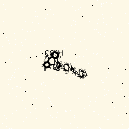 O=C(O)CC1c2ccccc2C(=O)N(CC(=O)N2CCN(CCN3CCOCC3)CC2)c2ccccc21